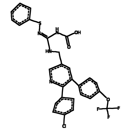 O=C(O)N/C(=N\Sc1ccccc1)NCc1cnc(-c2ccc(Cl)cc2)c(-c2ccc(OC(F)(F)F)cc2)c1